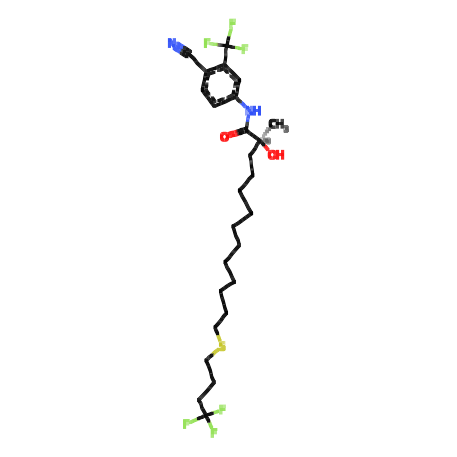 C[C@](O)(CCCCCCCCCCCSCCCC(F)(F)F)C(=O)Nc1ccc(C#N)c(C(F)(F)F)c1